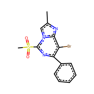 Cc1cn2c(S(C)(=O)=O)nc(-c3ccccc3)c(Br)c2n1